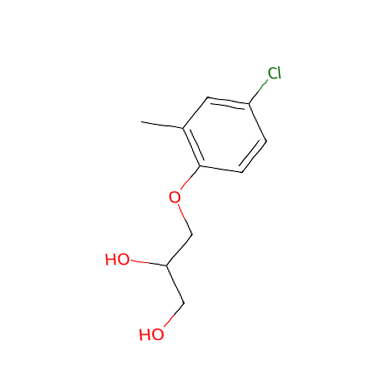 Cc1cc(Cl)ccc1OCC(O)CO